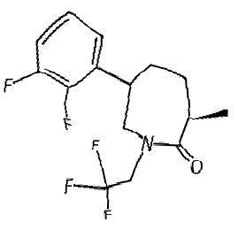 C[C@@H]1CCC(c2cccc(F)c2F)CN(CC(F)(F)F)C1=O